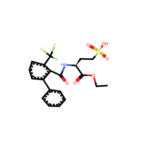 CCOC(=O)[C@H](CCS(=O)(=O)O)NC(=O)c1c(-c2ccccc2)cccc1C(F)(F)F